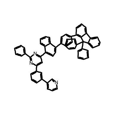 c1ccc(-c2nc(-c3cccc(-c4cccnc4)c3)cc(-c3ccc(-c4ccc(-c5cccc6c5C(c5ccccc5)(c5ccccc5)c5ccccc5-6)cc4)c4ccccc34)n2)cc1